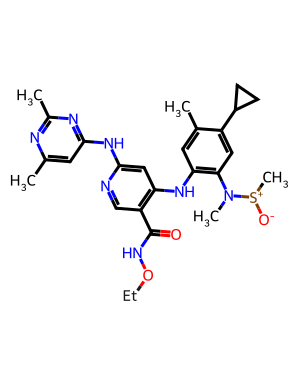 CCONC(=O)c1cnc(Nc2cc(C)nc(C)n2)cc1Nc1cc(C)c(C2CC2)cc1N(C)[S+](C)[O-]